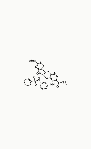 COc1ncc(-c2ccc3c(Nc4cccc(NS(=O)(=O)c5ccccc5)c4)c(C(N)=O)cnc3c2)c(OC)n1